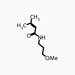 COCCCNC(=O)C=C(C)C